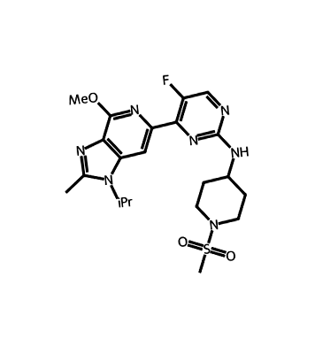 COc1nc(-c2nc(NC3CCN(S(C)(=O)=O)CC3)ncc2F)cc2c1nc(C)n2C(C)C